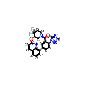 O=C(c1ccccc1-n1cnnn1)N1CCC(F)(F)[C@@H](Oc2ccc3ccccc3n2)C1